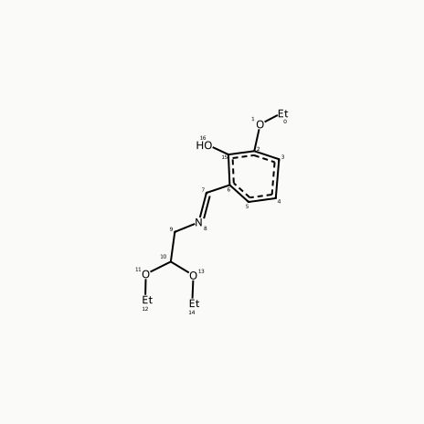 CCOc1cccc(/C=N/CC(OCC)OCC)c1O